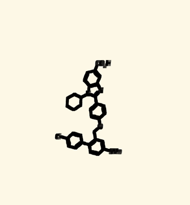 CSc1ccc(-c2ccc(Cl)cc2)c(COc2ccc(-c3nc4cc(C(=O)O)ccc4n3C3CCCCC3)cc2)c1